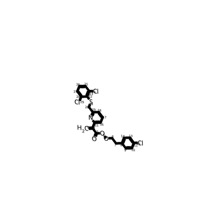 C=C(C(=O)OOCCc1ccc(Cl)cc1)c1cccc(CSc2c(Cl)cccc2Cl)n1